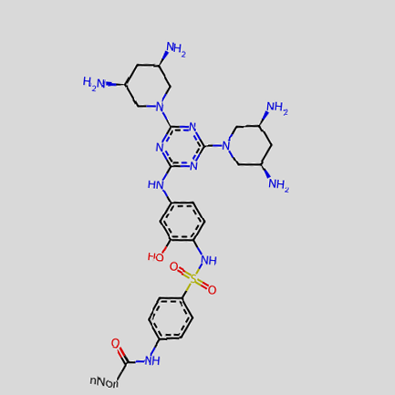 CCCCCCCCCC(=O)Nc1ccc(S(=O)(=O)Nc2ccc(Nc3nc(N4C[C@H](N)C[C@H](N)C4)nc(N4C[C@H](N)C[C@H](N)C4)n3)cc2O)cc1